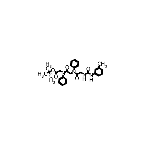 Cc1cccc(NC(=O)NCC(=O)N(CC(=O)N(CC(=O)OC(C)(C)C)c2ccccc2)c2ccccc2)c1